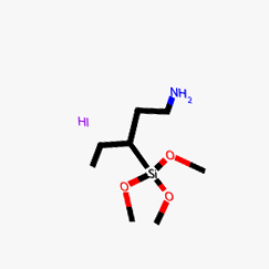 CCC(CCN)[Si](OC)(OC)OC.I